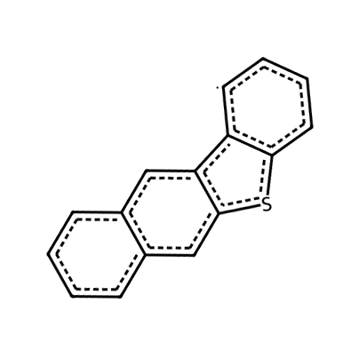 [c]1cccc2sc3cc4ccccc4cc3c12